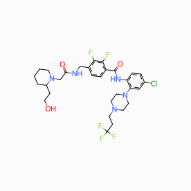 O=C(CN1CCCCC1CCO)NCc1ccc(C(=O)Nc2ccc(Cl)cc2N2CCN(CCC(F)(F)F)CC2)c(F)c1F